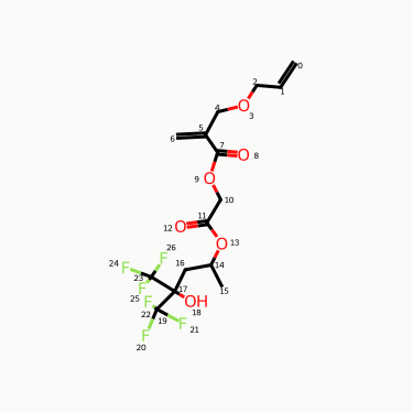 C=CCOCC(=C)C(=O)OCC(=O)OC(C)CC(O)(C(F)(F)F)C(F)(F)F